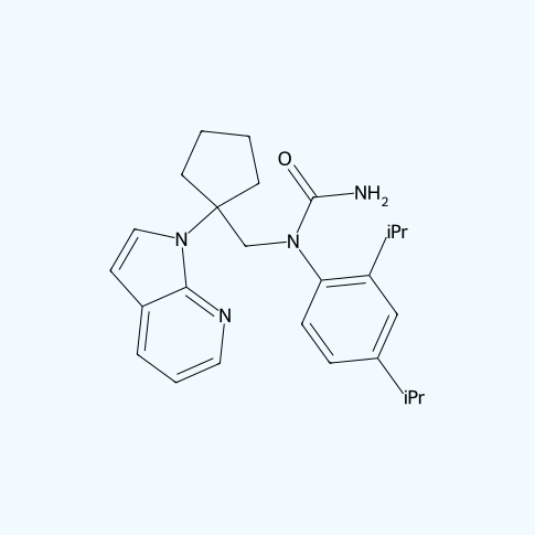 CC(C)c1ccc(N(CC2(n3ccc4cccnc43)CCCC2)C(N)=O)c(C(C)C)c1